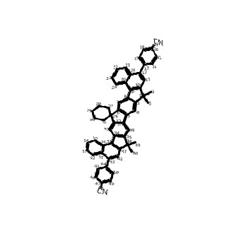 CC1(C)c2cc3c(cc2-c2c1cc(-c1ccc(C#N)cc1)c1ccccc21)C1(CCCCC1)c1cc2c(cc1-3)C(C)(C)c1cc(-c3ccc(C#N)cc3)c3ccccc3c1-2